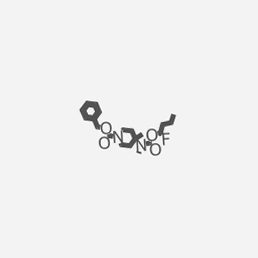 CCCC(F)OC(=O)N(C)C1(C)CCN(C(=O)OCc2ccccc2)CC1